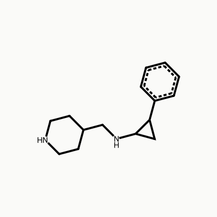 c1ccc(C2CC2NCC2CCNCC2)cc1